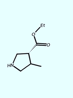 CCOC(=O)[C@H]1CNCC1C